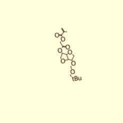 C=C(C)C(=O)OCC(=O)OC1COC2C(OCOCC(C)(C)C)COC12